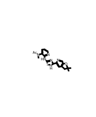 CC(=O)N(C)c1cccnc1NC1=NC(c2cc3c(cn2)OC(C)(C)C3)NS1